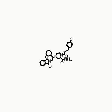 NC(=O)C1CN(C(CN2C(=O)c3ccccc3C2=O)C2CCCCC2)CCN1C(=O)[CH]Cc1ccc(Cl)cc1